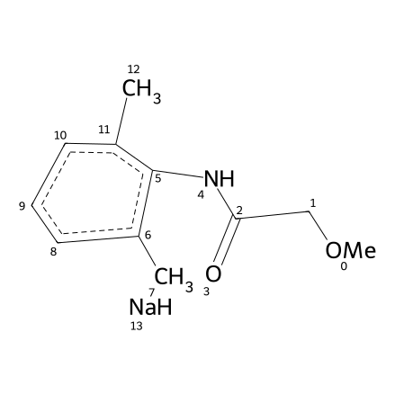 COCC(=O)Nc1c(C)cccc1C.[NaH]